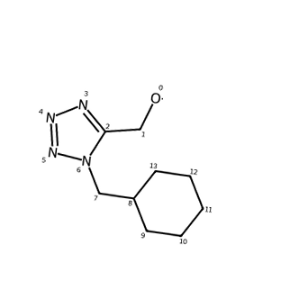 [O]Cc1nnnn1CC1CCCCC1